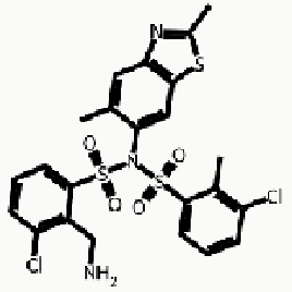 Cc1nc2cc(C)c(N(S(=O)(=O)c3cccc(Cl)c3C)S(=O)(=O)c3cccc(Cl)c3CN)cc2s1